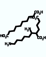 NCCCCCC(N)C(CCCC(=O)O)C(=O)O.O=C(O)CCCCCCCCC(=O)O